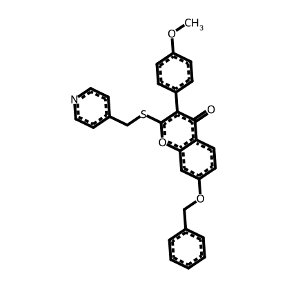 COc1ccc(-c2c(SCc3ccncc3)oc3cc(OCc4ccccc4)ccc3c2=O)cc1